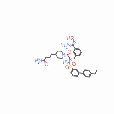 CCc1ccc(-c2cccc(S(=O)(=O)N[C@H](Cc3cccc(/C(N)=N/O)c3)C(=O)N3CCC(CCCC(=O)NC)CC3)c2)cc1